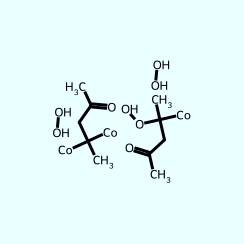 CC(=O)C[C](C)([Co])OO.CC(=O)C[C](C)([Co])[Co].OO.OO